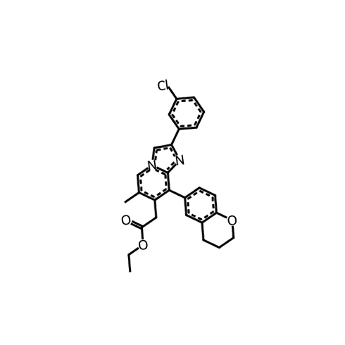 CCOC(=O)Cc1c(C)cn2cc(-c3cccc(Cl)c3)nc2c1-c1ccc2c(c1)CCCO2